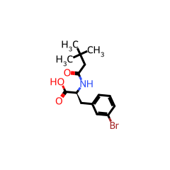 CC(C)(C)CC(=O)N[C@@H](Cc1cccc(Br)c1)C(=O)O